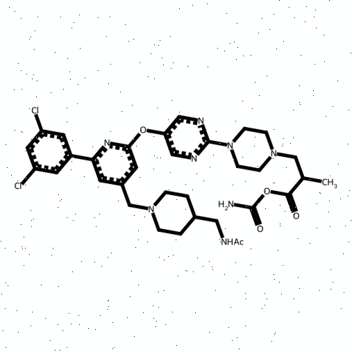 CC(=O)NCC1CCN(Cc2cc(Oc3cnc(N4CCN(CC(C)C(=O)OC(N)=O)CC4)nc3)nc(-c3cc(Cl)cc(Cl)c3)c2)CC1